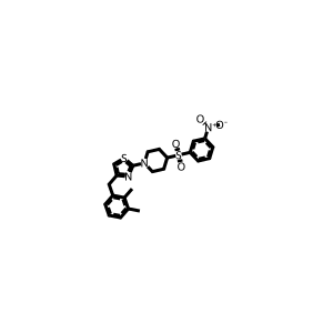 Cc1cccc(Cc2csc(N3CCC(S(=O)(=O)c4cccc([N+](=O)[O-])c4)CC3)n2)c1C